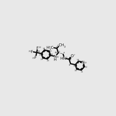 CC(C)[C@H](CNC(=O)Cc1cccnc1)Nc1ccc(C(F)(F)F)cc1